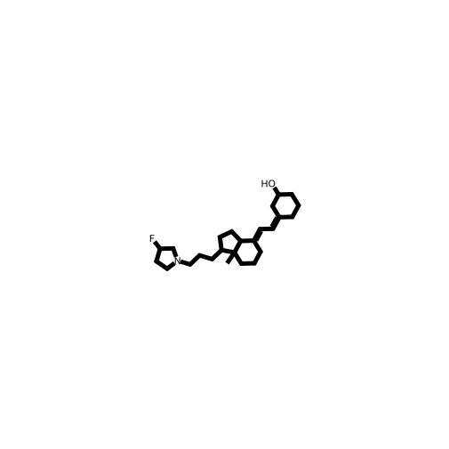 CC12CCC/C(=C\C=C3\CCCC(O)C3)C1CCC2CCCN1CCC(F)C1